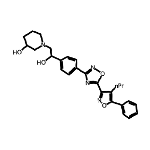 CCCc1c(-c2nc(-c3ccc(C(O)CN4CCCC(O)C4)cc3)no2)noc1-c1ccccc1